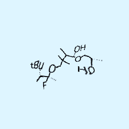 CC([C@H](O)OC[C@H](C)O)C(C)(C)CO[C@@](C)(F)[C@H](C)C(C)(C)C